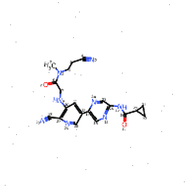 CN(CCC#N)C(=O)CNc1cc(-c2cnc(NC(=O)C3CC3)cn2)cnc1C#N